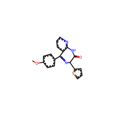 COc1ccc(C2=NC(c3cccs3)C(=O)Nc3ncccc32)cc1